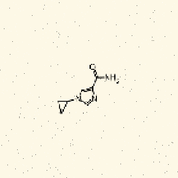 NC(=O)c1cn(C2CC2)cn1